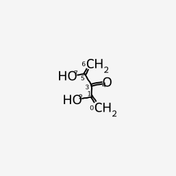 C=C(O)C(=O)C(=C)O